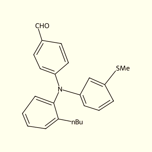 CCCCc1ccccc1N(c1ccc(C=O)cc1)c1cccc(SC)c1